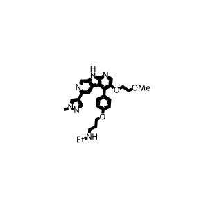 CCNCCCOc1ccc(-c2c(OCCOC)cnc3[nH]c4cnc(-c5cnn(C)c5)cc4c23)cc1